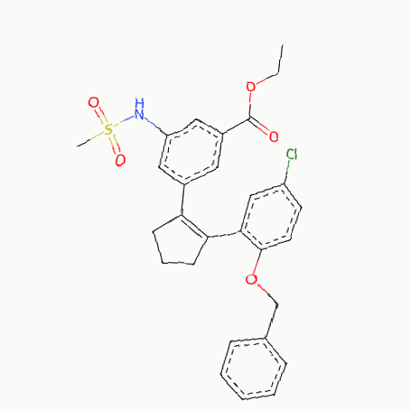 CCOC(=O)c1cc(NS(C)(=O)=O)cc(C2=C(c3cc(Cl)ccc3OCc3ccccc3)CCC2)c1